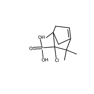 CC12CC=C(C1)C(C)(C)C2(Cl)P(=O)(O)O